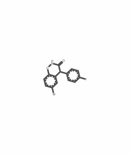 O=C1NOc2ccc(Br)cc2C1c1ccc(F)cc1